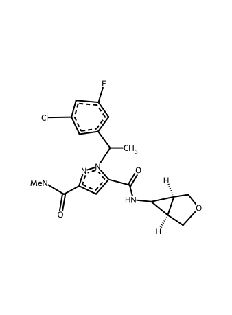 CNC(=O)c1cc(C(=O)NC2[C@H]3COC[C@@H]23)n(C(C)c2cc(F)cc(Cl)c2)n1